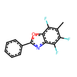 Cc1c(F)c(F)c2nc(-c3ccccc3)oc2c1F